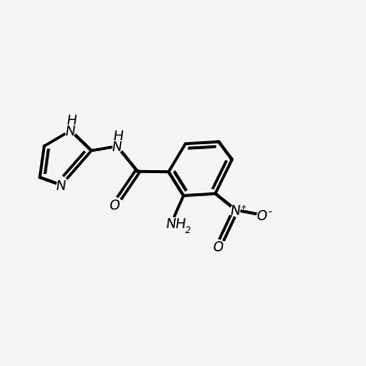 Nc1c(C(=O)Nc2ncc[nH]2)cccc1[N+](=O)[O-]